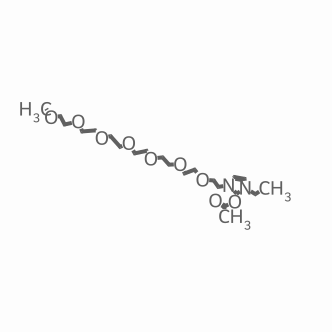 CCN1C=CN(CCOCCOCCOCCOCCOCCOCCOC)C1OC(C)=O